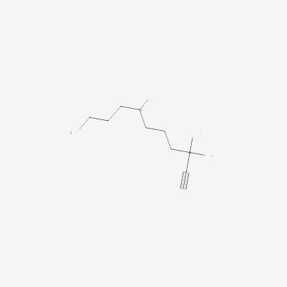 [C]#CC(C)(O)CCCC(C)CCCC(C)C